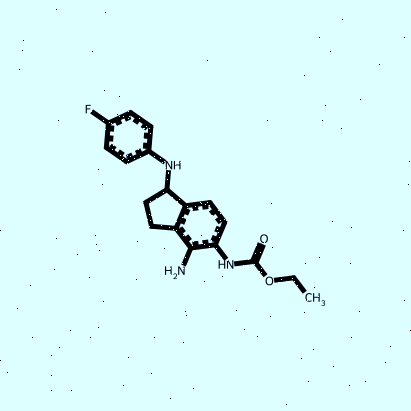 CCOC(=O)Nc1ccc2c(c1N)CCC2Nc1ccc(F)cc1